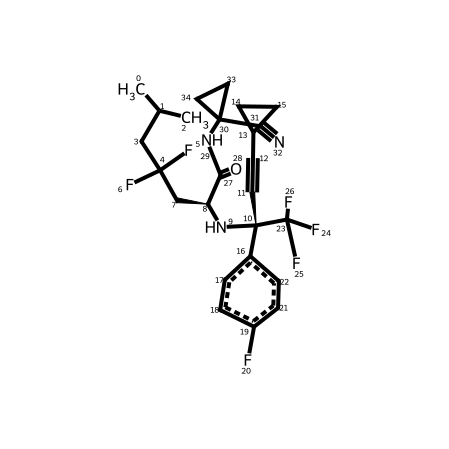 CC(C)CC(F)(F)C[C@H](N[C@@](C#CC1CC1)(c1ccc(F)cc1)C(F)(F)F)C(=O)NC1(C#N)CC1